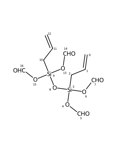 C=CC[Si](OC=O)(OC=O)O[Si](CC=C)(OC=O)OC=O